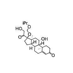 CC(C)OCO[C@]1(C(=O)CO)CC[C@H]2[C@@H]3CCC4=CC(=O)CC[C@]4(C)[C@H]3[C@@H](O)C[C@@]21C